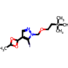 CC1OC(c2cnn(COCC[Si](C)(C)C)c2I)O1